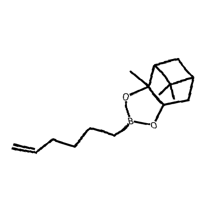 C=CCCCCB1OC2CC3CC(C3(C)C)C2(C)O1